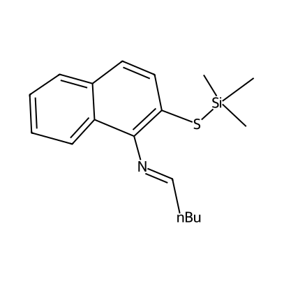 CCCCC=Nc1c(S[Si](C)(C)C)ccc2ccccc12